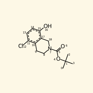 CC(C)(C)OC(=O)N1CCc2c(Cl)ccc(O)c2C1